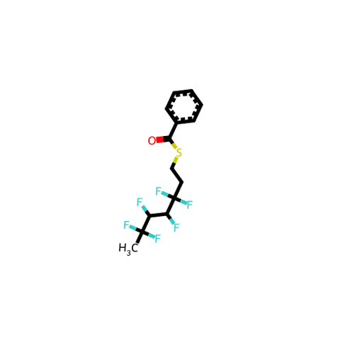 CC(F)(F)C(F)C(F)C(F)(F)CCSC(=O)c1ccccc1